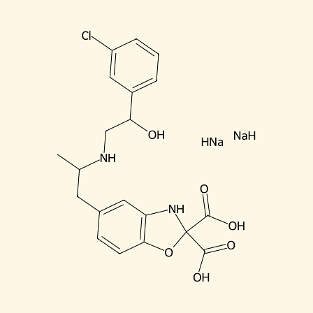 CC(Cc1ccc2c(c1)NC(C(=O)O)(C(=O)O)O2)NCC(O)c1cccc(Cl)c1.[NaH].[NaH]